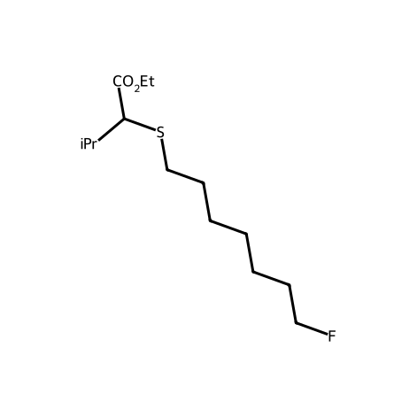 CCOC(=O)C(SCCCCCCCF)C(C)C